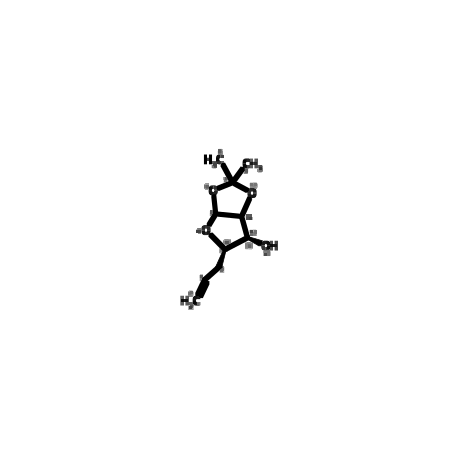 C=CC[C@H]1OC2OC(C)(C)OC2[C@H]1O